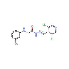 CC(C)c1cccc(NCC(=O)N/N=C/c2c(Cl)cncc2Cl)c1